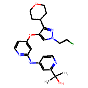 CC(C)(O)c1cc(Nc2cc(Oc3cn(CCF)nc3C3CCOCC3)ccn2)ccn1